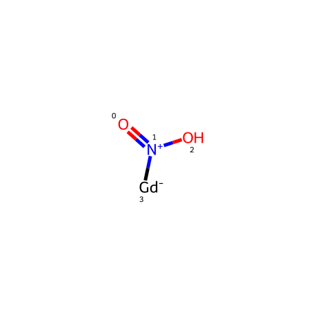 O=[N+](O)[Gd-]